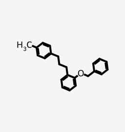 Cc1ccc(CCCc2ccccc2OCc2ccccc2)cc1